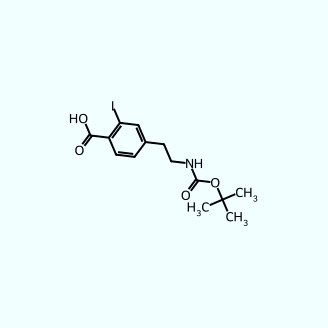 CC(C)(C)OC(=O)NCCc1ccc(C(=O)O)c(I)c1